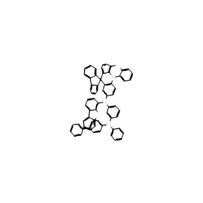 c1ccc(-c2ccc(N(c3ccccc3)c3cccc(N(c4ccc5c(c4)C4(c6ccccc6-c6ccccc64)c4cccc6c4N5c4ccccc4O6)c4cccc5c4oc4ccccc45)c3)cc2)cc1